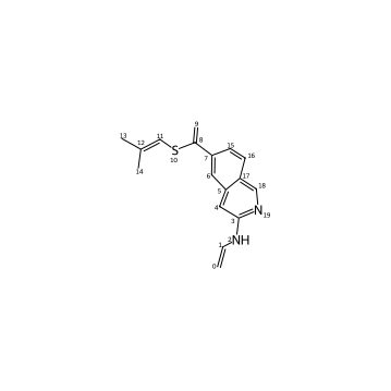 C=CNc1cc2cc(C(=C)SC=C(C)C)ccc2cn1